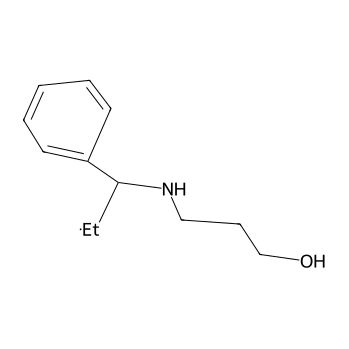 C[CH]C(NCCCO)c1ccccc1